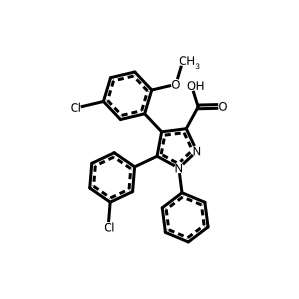 COc1ccc(Cl)cc1-c1c(C(=O)O)nn(-c2ccccc2)c1-c1cccc(Cl)c1